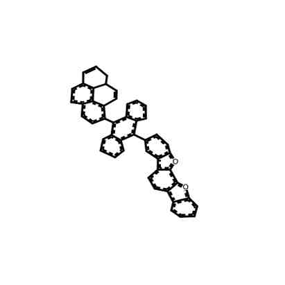 C1=Cc2ccc3ccc(-c4c5ccccc5c(-c5ccc6oc7c(ccc8c9ccccc9oc87)c6c5)c5ccccc45)c4c3c2C(C=C4)C1